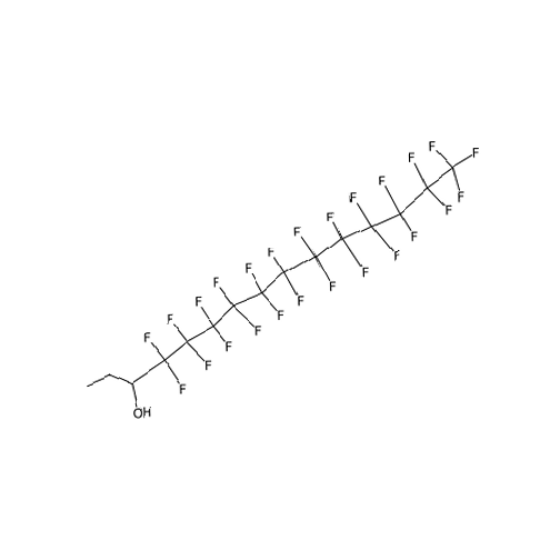 CCC(O)C(F)(F)C(F)(F)C(F)(F)C(F)(F)C(F)(F)C(F)(F)C(F)(F)C(F)(F)C(F)(F)C(F)(F)C(F)(F)C(F)(F)F